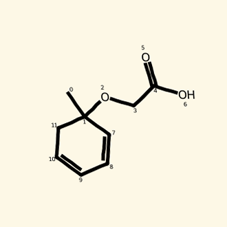 CC1(OCC(=O)O)C=CC=CC1